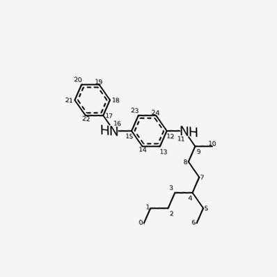 CCCCC(CC)CCC(C)Nc1ccc(Nc2ccccc2)cc1